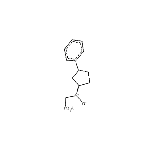 O=C(O)C[S+]([O-])C1CCC(c2ccccc2)C1